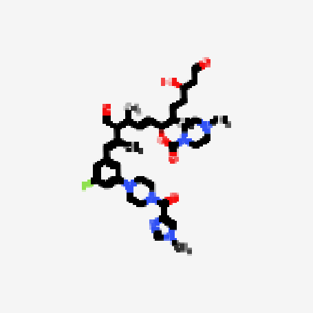 C/C(=C\c1cc(F)cc(N2CCN(C(=O)c3cn(C)cn3)CC2)c1)[C@@H](C=O)[C@@H](C)/C=C/[C@H](OC(=O)N1CCN(C)CC1)[C@@H](C)CC[C@@H](O)CC=O